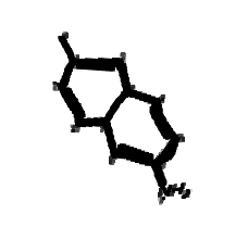 CC1=CC2C=CC(N)=CC2C=C1